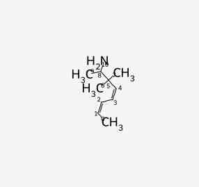 C/C=C\C=C/C(C)(C)C(C)N